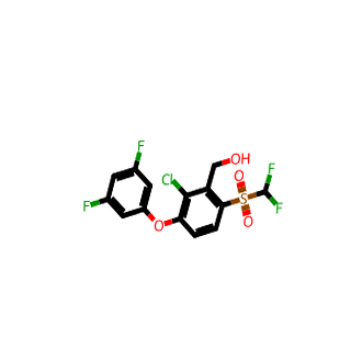 O=S(=O)(c1ccc(Oc2cc(F)cc(F)c2)c(Cl)c1CO)C(F)F